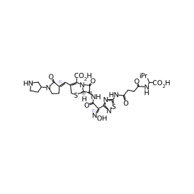 CC(C)C(NC(=O)CCC(=O)Nc1nc(/C(=N\O)C(=O)N[C@@H]2C(=O)N3C(C(=O)O)=C(/C=C4\CCN(C5CCNC5)C4=O)CS[C@H]23)ns1)C(=O)O